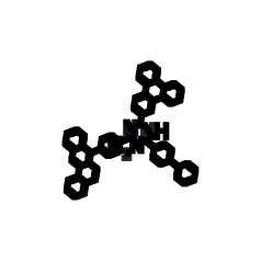 NC(NC(/N=C/c1ccc(-c2c3ccccc3cc3c2ccc2ccccc23)cc1)c1ccc2c3ccccc3c3ccccc3c2c1)c1ccc(-c2ccccc2)cc1